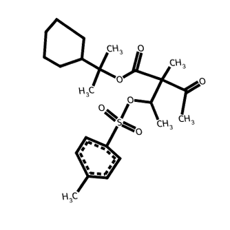 CC(=O)C(C)(C(=O)OC(C)(C)C1CCCCC1)C(C)OS(=O)(=O)c1ccc(C)cc1